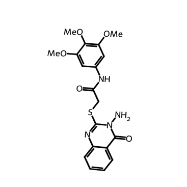 COc1cc(NC(=O)CSc2nc3ccccc3c(=O)n2N)cc(OC)c1OC